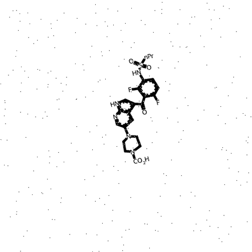 CCCS(=O)(=O)Nc1ccc(F)c(C(=O)c2c[nH]c3ncc(N4CCN(C(=O)O)CC4)cc23)c1F